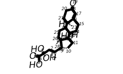 C[C@H](CC(O)(O)C(=O)O)[C@H]1CC[C@H]2[C@@H]3CCC4=CC(=O)CC[C@]4(C)[C@H]3CC[C@]12C